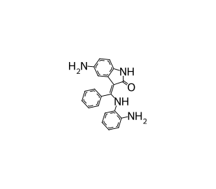 Nc1ccc2c(c1)/C(=C(/Nc1ccccc1N)c1ccccc1)C(=O)N2